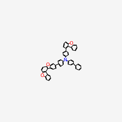 c1ccc(-c2ccc(N(c3ccc(-c4ccc5c(c4)oc4ccc6oc7ccccc7c6c45)cc3)c3ccc(-c4cccc5oc6ccccc6c45)cc3)cc2)cc1